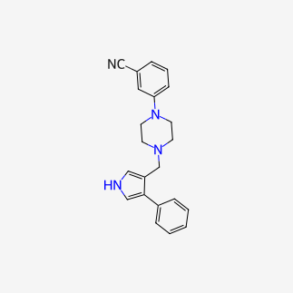 N#Cc1cccc(N2CCN(Cc3c[nH]cc3-c3ccccc3)CC2)c1